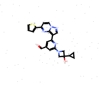 O=Cc1cc(-c2cnn3ccc(-c4cccs4)nc23)nc(N2CC(O)(C3CC3)C2)c1